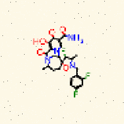 CC1C(F)C2(CCC(C)N3CC2n2cc(C(N)=O)c(=O)c(O)c2C3=O)ON1Cc1ccc(F)cc1F